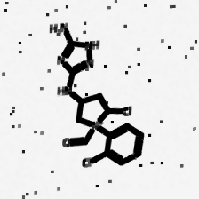 Nc1nc(NC2CC(Cl)[N+](C=O)(c3ccccc3Cl)C2)n[nH]1